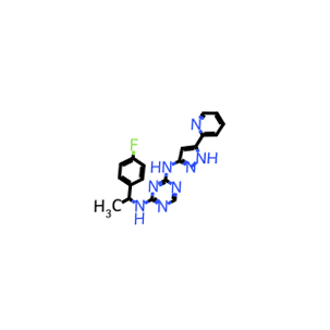 CC(Nc1ncnc(Nc2cc(-c3ccccn3)[nH]n2)n1)c1ccc(F)cc1